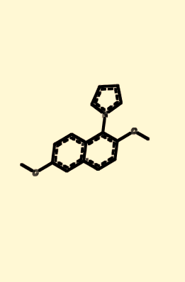 COc1ccc2c(-n3cccc3)c(OC)ccc2c1